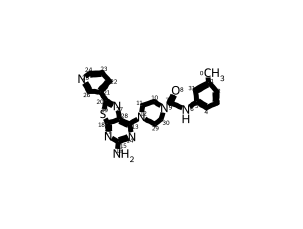 Cc1cccc(NC(=O)N2CCN(c3nc(N)nc4sc(-c5cccnc5)nc34)CC2)c1